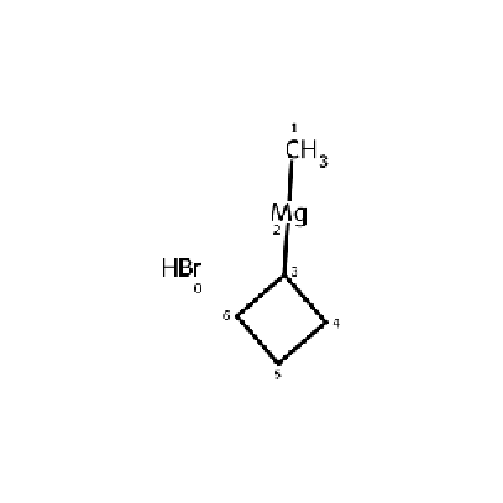 Br.[CH3][Mg][CH]1CCC1